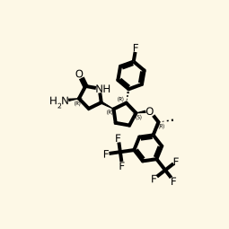 C[C@@H](O[C@H]1CC[C@@H](C2C[C@@H](N)C(=O)N2)[C@@H]1c1ccc(F)cc1)c1cc(C(F)(F)F)cc(C(F)(F)F)c1